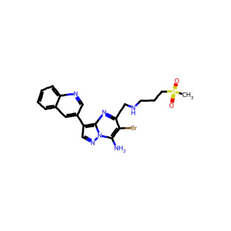 CS(=O)(=O)CCCNCc1nc2c(-c3cnc4ccccc4c3)cnn2c(N)c1Br